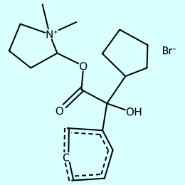 C[N+]1(C)CCCC1OC(=O)C(O)(c1ccccc1)C1CCCC1.[Br-]